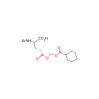 CC(=O)NC(CSC(=O)OCOC(=O)C1CCCCC1)C(=O)O